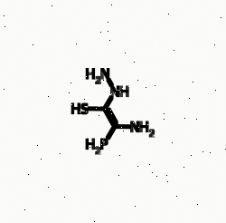 NN/C(S)=C(\N)P